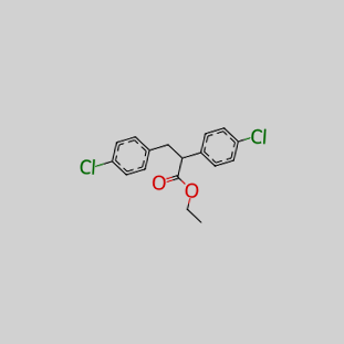 CCOC(=O)C(Cc1ccc(Cl)cc1)c1ccc(Cl)cc1